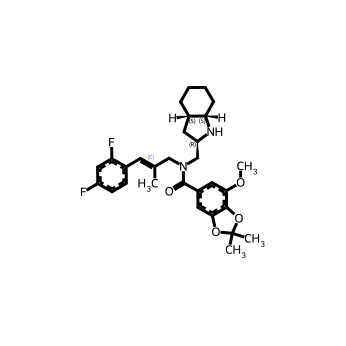 COc1cc(C(=O)N(C/C(C)=C/c2ccc(F)cc2F)C[C@H]2C[C@@H]3CCCC[C@@H]3N2)cc2c1OC(C)(C)O2